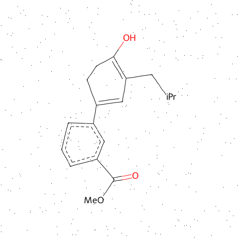 COC(=O)c1cccc(C2=CC(CC(C)C)=C(O)CC2)c1